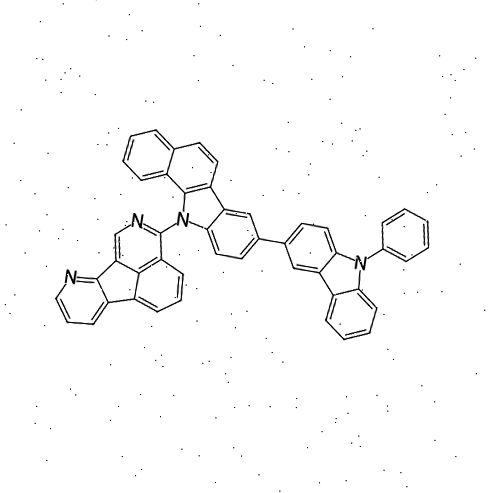 c1ccc(-n2c3ccccc3c3cc(-c4ccc5c(c4)c4ccc6ccccc6c4n5-c4ncc5c6c(cccc46)-c4cccnc4-5)ccc32)cc1